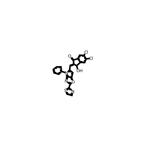 O=C1/C(=C/c2cc3oc(-c4nccs4)nc3n2-c2ccccc2)C(O)c2cc(Cl)c(Cl)cc21